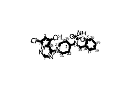 Cc1cc(Cl)n2ncnc(N3CCC(N(Cc4ccccc4)S(N)(=O)=O)CC3)c12